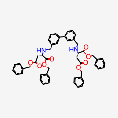 O=C(C[C@H](NCc1cccc(-c2cccc(CN[C@@H](CC(=O)OCc3ccccc3)C(=O)OCc3ccccc3)c2)c1)C(=O)OCc1ccccc1)OCc1ccccc1